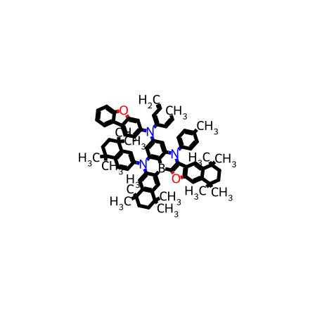 C=C/C=C(\C=C/C)N(c1cc2c3c(c1)N(c1ccc(C)cc1)c1c(oc4cc5c(cc14)C(C)(C)CCC5(C)C)B3c1cc3c(cc1N2c1ccc2c(c1)C(C)(C)CCC2(C)C)C(C)(C)CCC3(C)C)c1ccc2c(c1)oc1ccccc12